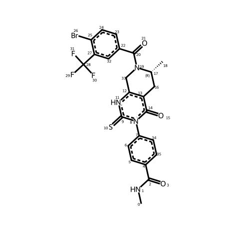 CNC(=O)c1ccc(-n2c(=S)[nH]c3c(c2=O)C[C@@H](C)N(C(=O)c2ccc(Br)c(C(F)(F)F)c2)C3)cc1